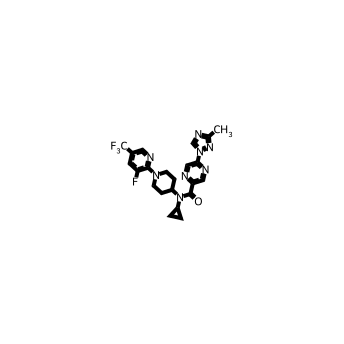 Cc1ncn(-c2cnc(C(=O)N(C3CC3)C3CCN(c4ncc(C(F)(F)F)cc4F)CC3)cn2)n1